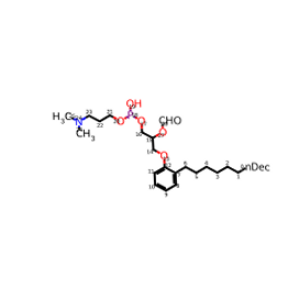 CCCCCCCCCCCCCCCCc1ccccc1OCC(COP(O)OCCCN(C)C)OC=O